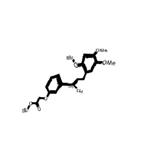 COc1cc(CC[C@@H](O)c2cccc(OCC(=O)OC(C)(C)C)c2)c(OC(C)(C)C)cc1OC